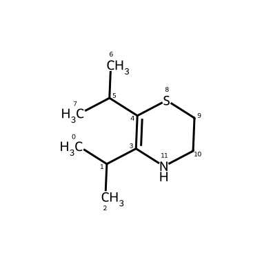 CC(C)C1=C(C(C)C)SCCN1